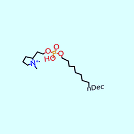 CCCCCCCCCCCCCCCCCCOP(=O)(O)OCCC1CCC[N+]1(C)C